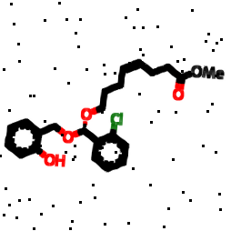 COC(=O)CC/C=C\CCCO[C@@H](OCc1ccccc1O)c1ccccc1Cl